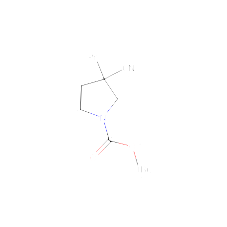 CC(C)C1(C#N)CCN(C(=O)OC(C)(C)C)C1